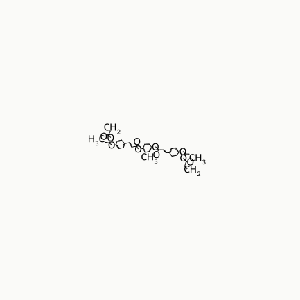 C=CC(=O)OC(CC)Oc1ccc(/C=C/C(=O)Oc2ccc(OC(=O)/C=C/c3ccc(OC(CC)OC(=O)C=C)cc3)c(C)c2)cc1